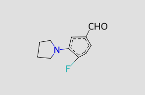 O=Cc1ccc(F)c(N2CCCC2)c1